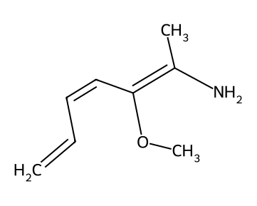 C=C/C=C\C(OC)=C(/C)N